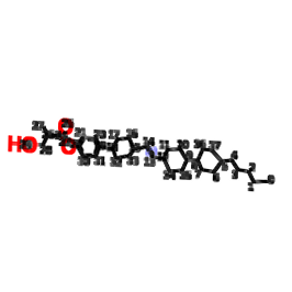 CCCCCC1CCC(C2CCC(/C=C/C3CCC(c4ccc(OC(=O)C(C)CO)cc4)CC3)CC2)CC1